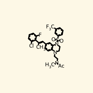 CC(=O)N(C)CCN1CCN(S(=O)(=O)c2cccc(C(F)(F)F)c2)c2cc(/C=C(\C)c3c(F)cccc3Cl)ccc21